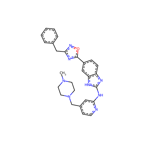 CN1CCN(Cc2ccnc(Nc3nc4ccc(-c5nc(Cc6ccccc6)no5)cc4[nH]3)c2)CC1